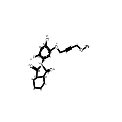 CCOCC#CCOc1cc(N2C(=O)C3CCCCC3C2=O)c(F)cc1Cl